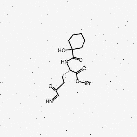 CC(C)OC(=O)[C@H](CCC(=O)C=N)NC(=O)C1(O)CCCCC1